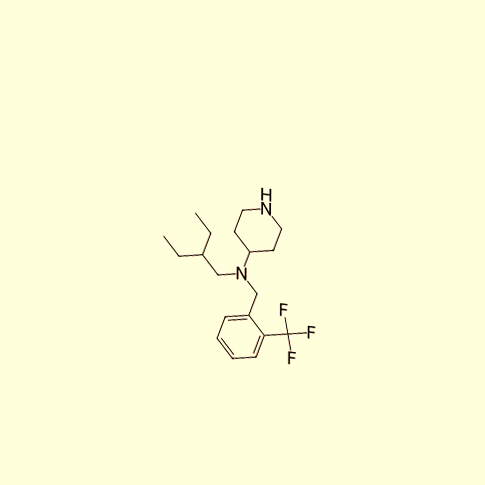 CCC(CC)CN(Cc1ccccc1C(F)(F)F)C1CCNCC1